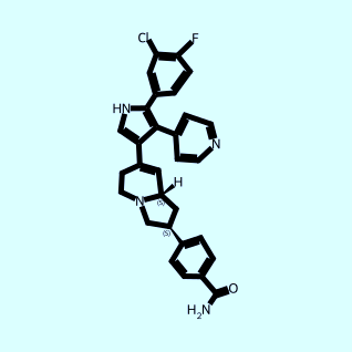 NC(=O)c1ccc([C@@H]2C[C@H]3C=C(c4c[nH]c(-c5ccc(F)c(Cl)c5)c4-c4ccncc4)CCN3C2)cc1